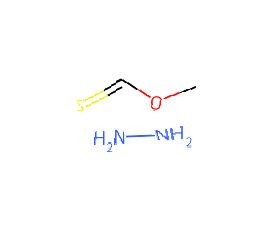 COC=S.NN